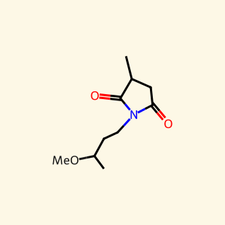 COC(C)CCN1C(=O)CC(C)C1=O